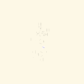 C[C@@H](NC(=O)c1ccc(/C=C/C(c2cc(Cl)c(Cl)c(Cl)c2)C(F)(F)F)cc1C(F)(F)F)C(N)=O